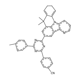 Cc1ccc(-c2nc(-c3ccc(C#N)cc3)nc(-c3cc4c5c(c3)c3ncccc3n5C3=CCCC=C3C4(C)C)n2)cc1